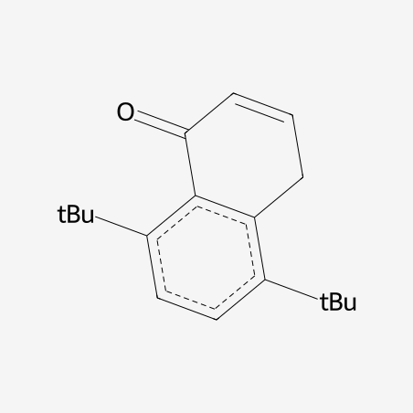 CC(C)(C)c1ccc(C(C)(C)C)c2c1CC=CC2=O